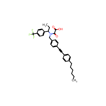 CCCCCCc1ccc(C#Cc2ccc(CN(C(=O)C(=O)O)C(CC)c3ccc(C(F)(F)F)cc3)cc2)cc1